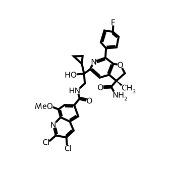 COc1cc(C(=O)NCC(O)(c2cc3c(c(-c4ccc(F)cc4)n2)OC[C@]3(C)C(N)=O)C2CC2)cc2cc(Cl)c(Cl)nc12